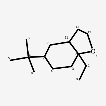 CCC12CCC(C(C)(C)C)CC1CCO2